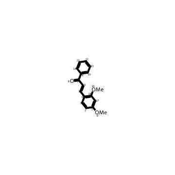 COc1ccc(C=CC(=O)c2ccccc2)c(OC)c1